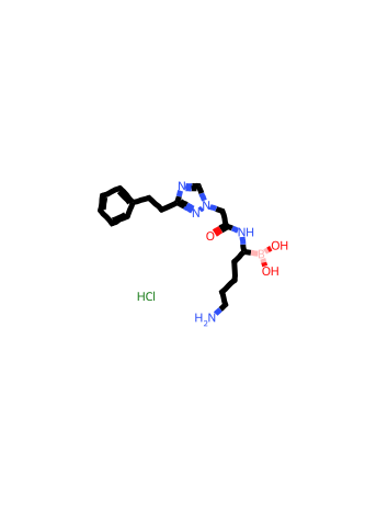 Cl.NCCCCC(NC(=O)Cn1cnc(CCc2ccccc2)n1)B(O)O